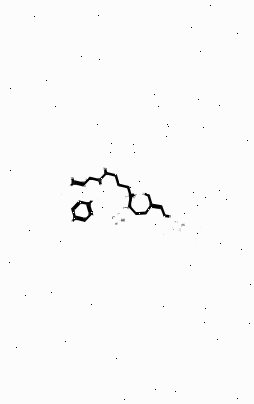 CC(C)=CCC(OS(=O)(=O)c1ccc(C)cc1)C(C)CCC[C@]1(C)OCC(=CCO[Si](C)(C)C)CC[C@H]1O[Si](C)(C)C